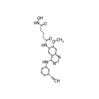 C#Cc1cccc(Nc2ncnc3cc(OC)c(NC(=O)CCCC(=O)NO)cc23)c1